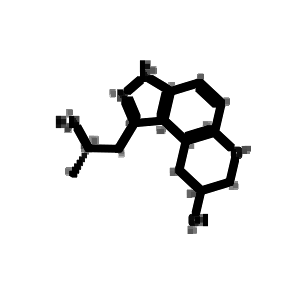 C[C@H](N)Cc1n[nH]c2ccc3c(c12)CC(O)CO3